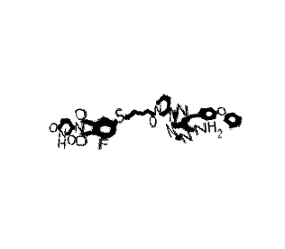 Nc1ncnc2c1c(-c1ccc(Oc3ccccc3)cc1)nn2C1CCCN(C(=O)CCCCSc2cc(F)c3c(c2)C(=O)N(C2CCC(=O)NC2=O)C3=O)C1